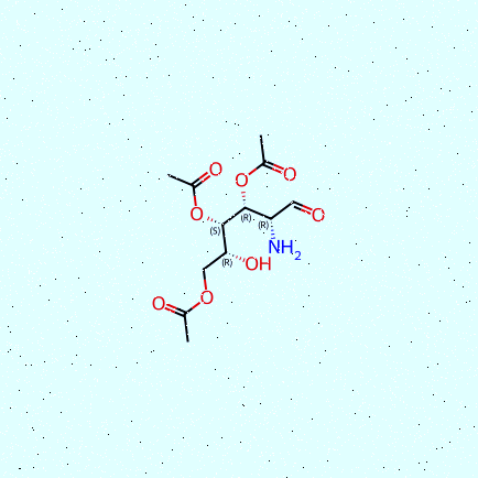 CC(=O)OC[C@@H](O)[C@H](OC(C)=O)[C@H](OC(C)=O)[C@@H](N)C=O